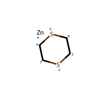 C1CSCCS1.[Zn]